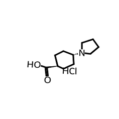 Cl.O=C(O)[C@H]1CC[C@H](N2CCCC2)CC1